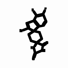 O=C1NC(=O)C2(CCC3(CC2)C(Br)=Cc2c3ccc(F)c2F)N1